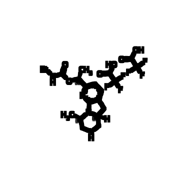 CCNC(=O)O[C@@H](C)c1ccc2c(n1)N1[C@@H](CNC[C@H]1C)C2.O=C(O)C(F)(F)F.O=C(O)C(F)(F)F